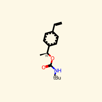 C=Cc1ccc([C@H](C)OC(=O)NC(C)(C)C)cc1